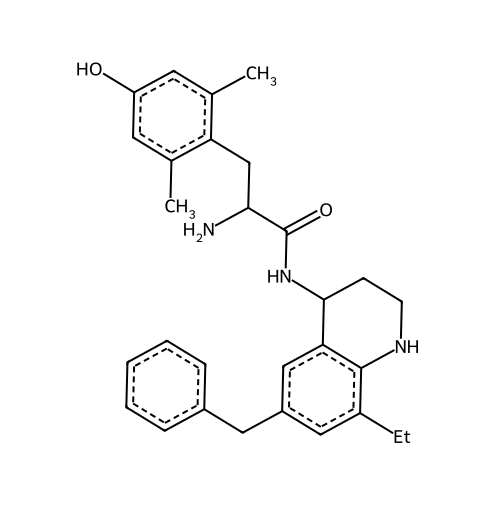 CCc1cc(Cc2ccccc2)cc2c1NCCC2NC(=O)C(N)Cc1c(C)cc(O)cc1C